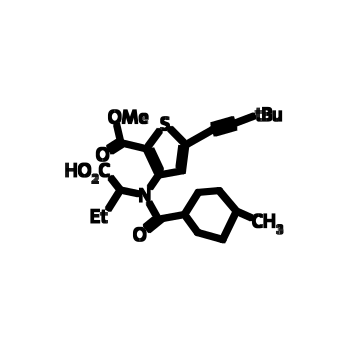 CCC(C(=O)O)N(C(=O)C1CCC(C)CC1)c1cc(C#CC(C)(C)C)sc1C(=O)OC